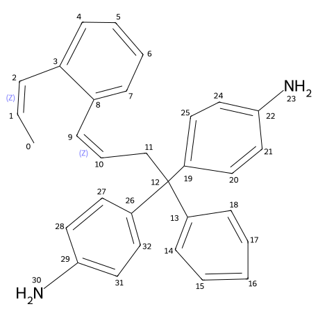 C/C=C\c1ccccc1/C=C\CC(c1ccccc1)(c1ccc(N)cc1)c1ccc(N)cc1